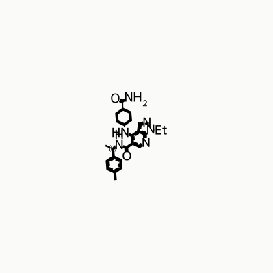 CCn1ncc2c(N[C@H]3CC[C@H](C(N)=O)CC3)c(C(=O)N[C@H](C)c3ccc(C)cc3)cnc21